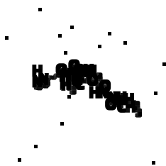 CCC(N)C(=O)NCCNC(=O)CCCOc1cc(C)c(S(=O)(=O)NC(CNC(=O)CCCCc2ccc3c(n2)NCCC3)C(=O)O)c(C)c1